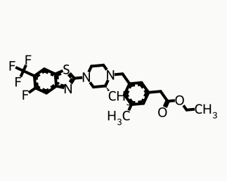 CCOC(=O)Cc1cc(C)cc(CN2CCN(c3nc4cc(F)c(C(F)(F)F)cc4s3)C[C@H]2C)c1